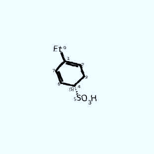 CCC1=CC[C@H](S(=O)(=O)O)C=C1